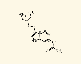 CCN(CC)CCc1c[nH]c2cc(OC(C)=O)ccc12